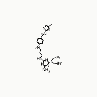 Cc1cnc(N=Nc2ccc(N(C)CCCNc3nc(N)nc(N(CC(C)C)CC(C)C)n3)cc2)s1